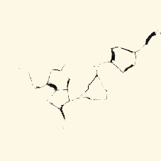 CCNc1cc(F)cc2c1NC(=O)[C@]2(C)N1CCCC(Nc2ccc(C#N)cc2)C1